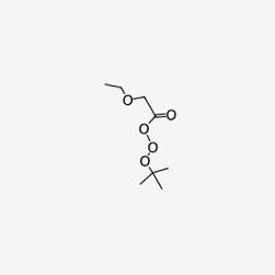 CCOCC(=O)OOOC(C)(C)C